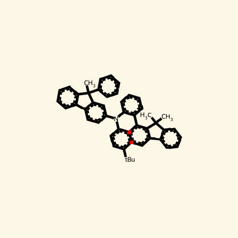 CC(C)(C)c1ccc(N(c2ccc3c(c2)C(C)(c2ccccc2)c2ccccc2-3)c2ccccc2-c2cccc3c2C(C)(C)c2ccccc2-3)cc1